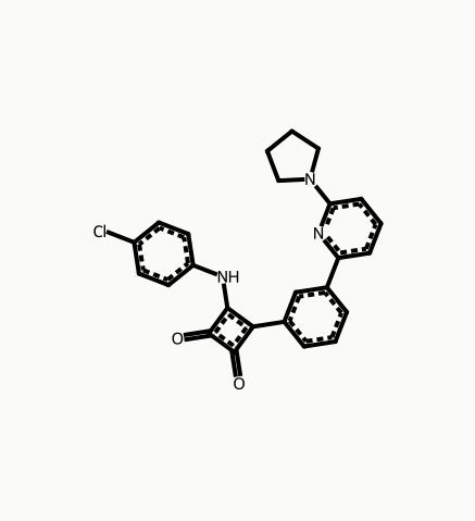 O=c1c(Nc2ccc(Cl)cc2)c(-c2cccc(-c3cccc(N4CCCC4)n3)c2)c1=O